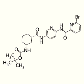 CC(C)(C)OC(=O)N[C@@H]1CCC[C@H](C(=O)Nc2ccc(NC(=O)c3cccc(Br)n3)nc2)C1